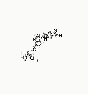 C[Si](C)(C)CCOCn1ccc2c(-n3cc4c(n3)CN(C(=O)O)C4)ncnc21